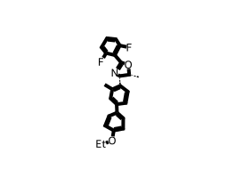 CCOc1ccc(-c2ccc([C@@H]3N=C(c4c(F)cccc4F)O[C@@H]3C)c(C)c2)cc1